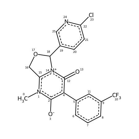 Cn1c([O-])c(-c2cccc(C(F)(F)F)c2)c(=O)[n+]2c1COC2c1ccc(Cl)nc1